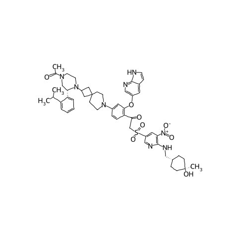 CC(=O)N1CCN(C2CC3(CCN(c4ccc(C(=O)CS(=O)(=O)c5cnc(NC[C@H]6CC[C@](C)(O)CC6)c([N+](=O)[O-])c5)c(Oc5cnc6[nH]ccc6c5)c4)CC3)C2)[C@H](c2ccccc2C(C)C)C1